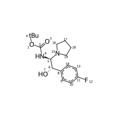 CC(C)(C)OC(=O)N[C@H]([C@@H](O)c1ccc(F)cc1)N1CCCC1